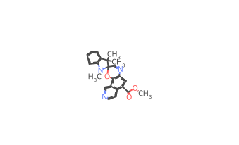 COC(=O)c1cc2c(c3cnccc13)OC1(C=N2)N(C)c2ccccc2C1(C)C